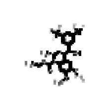 CCOC(=O)N1c2cc(OC)c(OC)cc2[C@H]([C@H](O)c2cc(C(F)(F)F)cc(C(F)(F)F)c2)C[C@H]1C